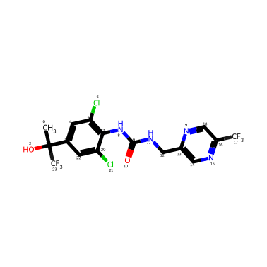 CC(O)(c1cc(Cl)c(NC(=O)NCc2cnc(C(F)(F)F)cn2)c(Cl)c1)C(F)(F)F